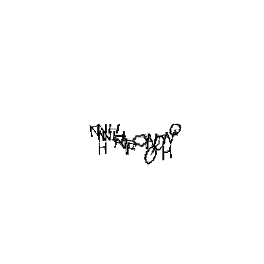 CC(=O)NCC1CN(c2ccc(-c3ccc(CNNC4=NCCN4)cn3)c(F)c2)C(=O)O1